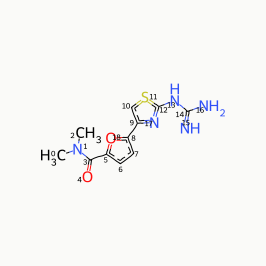 CN(C)C(=O)c1ccc(-c2csc(NC(=N)N)n2)o1